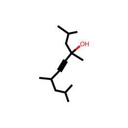 CC(C)CC(C)C#CC(C)(O)CC(C)C